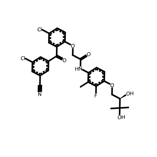 Cc1c(NC(=O)COc2ccc(Cl)cc2C(=O)c2cc(Cl)cc(C#N)c2)ccc(OC[C@@H](O)C(C)(C)O)c1F